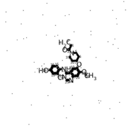 C=CC(=O)N1CCC(Oc2cc3c(Nc4ccc(O)cc4Cl)ncnc3cc2OC)CC1